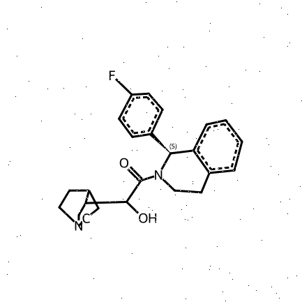 O=C(C(O)C1CN2CCC1CC2)N1CCc2ccccc2[C@@H]1c1ccc(F)cc1